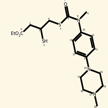 CCOC(=O)CC(S)CSC(=O)N(C)c1ccc(N2CCN(C)CC2)cc1